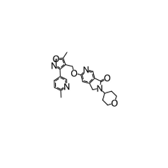 Cc1ccc(-c2noc(C)c2COc2cc3c(cn2)C(=O)N(C2CCOCC2)C3)cn1